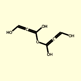 OC=C=C(O)OC(O)=C=CO